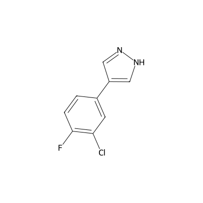 Fc1ccc(-c2cn[nH]c2)cc1Cl